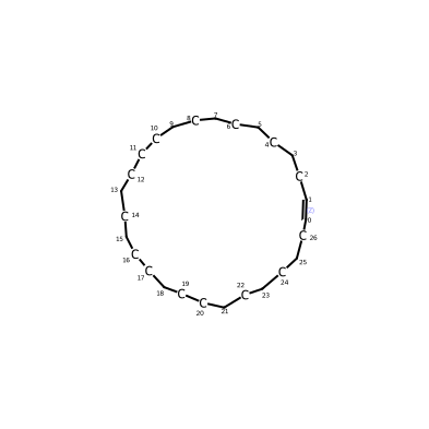 [C]1=C\CCCCCCCCCCCCCCCCCCCCCCCCC/1